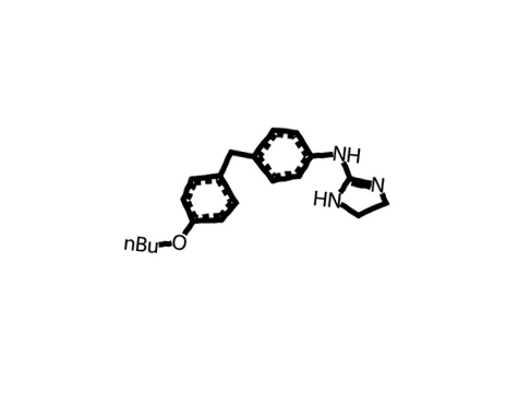 CCCCOc1ccc(Cc2ccc(NC3=NCCN3)cc2)cc1